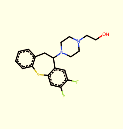 OCCN1CCN(C2Cc3ccccc3Sc3cc(F)c(F)cc32)CC1